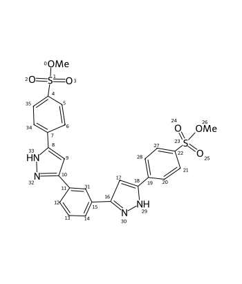 COS(=O)(=O)c1ccc(-c2cc(-c3cccc(-c4cc(-c5ccc(S(=O)(=O)OC)cc5)[nH]n4)c3)n[nH]2)cc1